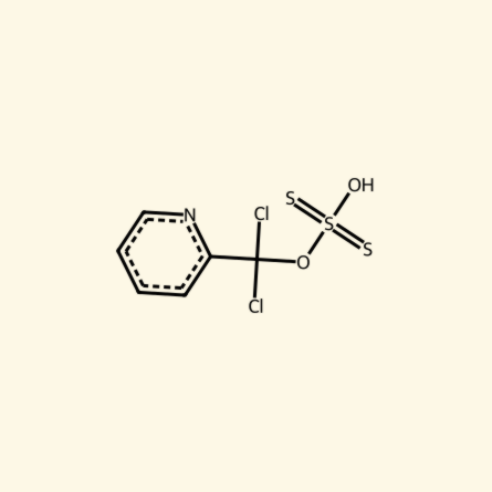 OS(=S)(=S)OC(Cl)(Cl)c1ccccn1